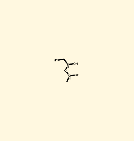 CC(C)C[SiH](O)O[SiH](C)O